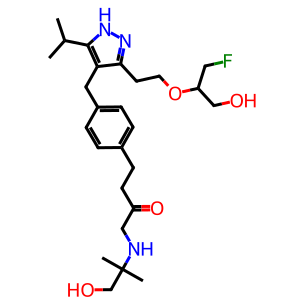 CC(C)c1[nH]nc(CCOC(CO)CF)c1Cc1ccc(CCC(=O)CNC(C)(C)CO)cc1